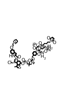 Cc1csc2c(OC(=O)N(C)CC(C)(C)CN(C)C(=O)OCc3ccc(N(C(=O)[C@@H](NC(=O)CCCCCN4C(=O)C=CC4=O)C(C)C)[C@@H](CCCNC(N)=O)C(N)=O)cc3)cc3c(c12)[C@H](CCl)CN3C(=O)c1cc2cc(OCCN3CCCC3)ccc2[nH]1